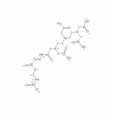 O=C(O)CN(CCN(CC(=O)O)CC(=O)O)CCN(CC(=O)O)CC(=O)N/C=C/C(=O)OCP[N+](=O)[O-]